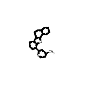 Cc1ccnc(-c2cccc3c2oc2c4ccccc4ccc32)c1